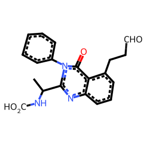 CC(NC(=O)O)c1nc2cccc(CCC=O)c2c(=O)n1-c1ccccc1